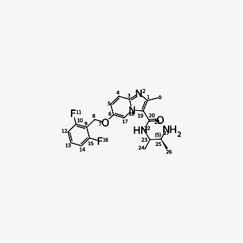 Cc1nc2ccc(OCc3c(F)cccc3F)cn2c1C(=O)NC(C)[C@H](C)N